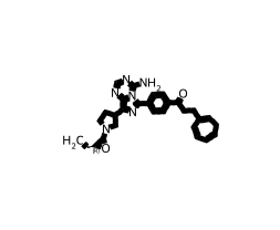 C=C[C@H]1OC1N1CCC(c2nc(-c3ccc(C(=O)CCC4=CCC=CC=C4)cc3)n3c(N)ncnc23)C1